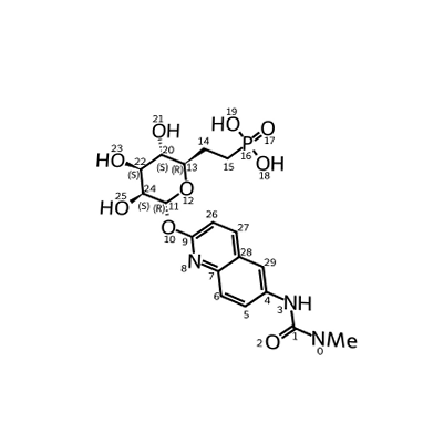 CNC(=O)Nc1ccc2nc(O[C@H]3O[C@H](CCP(=O)(O)O)[C@@H](O)[C@H](O)[C@@H]3O)ccc2c1